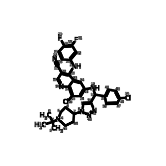 CC(C)(C)N1CCC(n2cc(C(Nc3cc(Cl)c4ncc(C#N)c(Nc5ccc(F)c(F)c5)c4c3)c3ccc(Cl)cc3)nn2)CC1